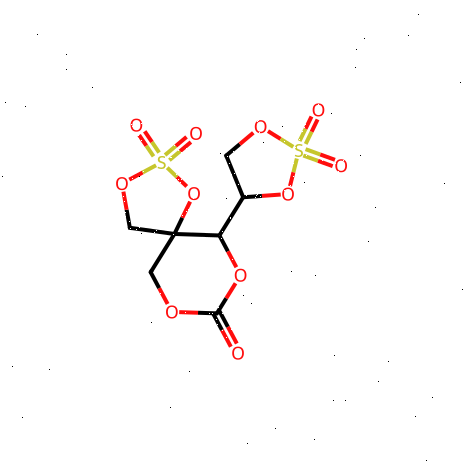 O=C1OCC2(COS(=O)(=O)O2)C(C2COS(=O)(=O)O2)O1